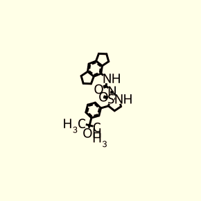 CC(C)(O)c1cccc(C2CCNS2(=O)=NC(=O)Nc2c3c(cc4c2CCC4)CCC3)c1